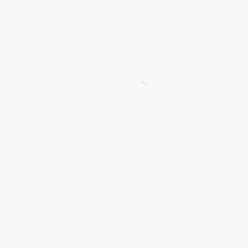 c1ccc(-c2c(-c3ccccc3)c3cc(-c4cccc(N(c5ccc6ccccc6c5)c5ccc6oc7c8ccccc8ccc7c6c5)c4)ccc3c3ccccc23)cc1